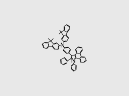 CC1(C)c2ccccc2-c2ccc(N(c3ccc(-c4c(-c5ccccc5)n(-c5ccccc5)c5c6ccccc6c6ccccc6c45)cc3)c3ccc4c(c3)C(C)(C)c3ccccc3-4)cc21